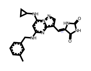 Cc1cccc(CNc2cc(NC3CC3)n3ncc(/C=C4\NC(=O)NC4=O)c3n2)c1